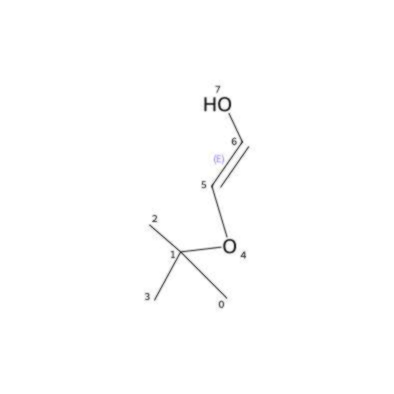 CC(C)(C)O/C=C/O